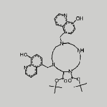 CC(C)(C)OC(=O)C1CN(Cc2ccc(O)c3ncccc23)CCCN(Cc2ccc(O)c3ncccc23)CCNCCCN1C(=O)OC(C)(C)C